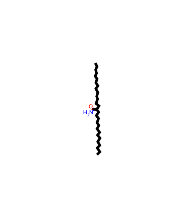 CCCCCCCCCCCCCCC(CCCCCCCCCCCCCC)C(N)=O